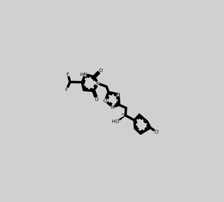 O=c1cc(C(F)F)[nH]c(=O)n1Cc1nc(C[C@H](O)c2ccc(Cl)cc2)no1